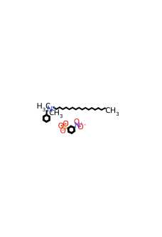 CCCCCCCCCCCCCCCCCC[N+](C)(C)Cc1ccccc1.O=[N+]([O-])c1cccc(S(=O)(=O)[O-])c1